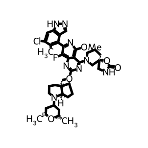 COc1nc(-c2c(C)c(Cl)cc3[nH]ncc23)c(F)c2nc(OC[C@]34CCC[C@H]3N(C3C[C@@H](C)O[C@@H](C)C3)CCC4)nc(N3CCC[C@]4(CNC(=O)O4)C3)c12